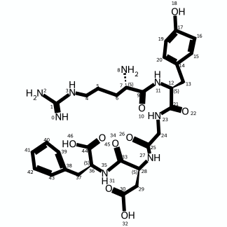 N=C(N)NCCC[C@H](N)C(=O)N[C@@H](Cc1ccc(O)cc1)C(=O)NCC(=O)N[C@@H](CC(=O)O)C(=O)N[C@@H](Cc1ccccc1)C(=O)O